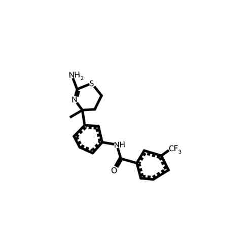 CC1(c2cccc(NC(=O)c3cccc(C(F)(F)F)c3)c2)CCSC(N)=N1